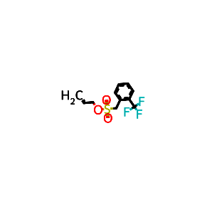 C=CCOS(=O)(=O)Cc1ccccc1C(F)(F)F